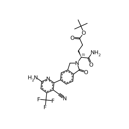 CC(C)(C)OC(=O)CC[C@@H](C(N)=O)N1Cc2cc(-c3nc(N)cc(C(F)(F)F)c3C#N)ccc2C1=O